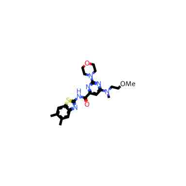 COCCN(C)c1cc(C(=O)Nc2nc3cc(C)c(C)cc3s2)nc(N2CCOCC2)n1